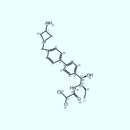 NC1CN(Cc2ccc(-c3ccc([C@@H](O)[C@@H](CF)NC(=O)C(Cl)Cl)cc3)cc2)C1